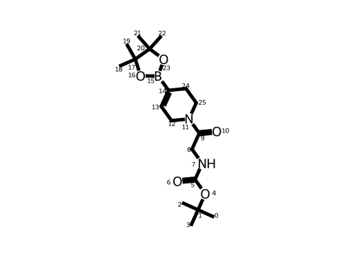 CC(C)(C)OC(=O)NCC(=O)N1CC=C(B2OC(C)(C)C(C)(C)O2)CC1